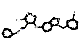 Nc1ncnc(Nc2ccc3c(cnn3Cc3cccc(F)c3)c2)c1/C=N/Oc1ccccc1